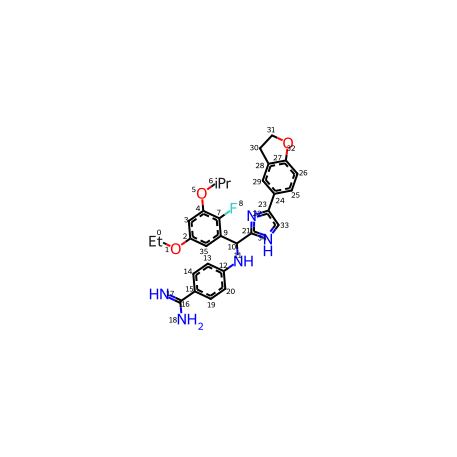 CCOc1cc(OC(C)C)c(F)c(C(Nc2ccc(C(=N)N)cc2)c2nc(-c3ccc4c(c3)CCO4)c[nH]2)c1